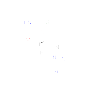 [2H]C([2H])(n1ncnn1)[C@]([2H])(OC(N)=O)c1ccccc1Cl